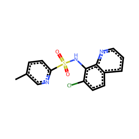 Cc1ccc(S(=O)(=O)Nc2c(Cl)ccc3cccnc23)nc1